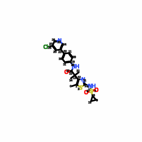 Cc1sc(NS(=O)(=O)C2CC2)nc1C(C)(C)C(=O)Nc1ccc(-c2cncc(Cl)c2)cc1